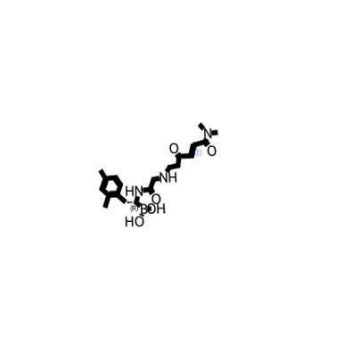 Cc1ccc(C[C@H](NC(=O)CNCCC(=O)/C=C/C(=O)N(C)C)B(O)O)c(C)c1